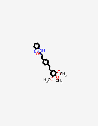 COc1cc(CCc2ccc(C=CC(=O)Nc3ccccc3N)cc2)cc(OC)c1OC